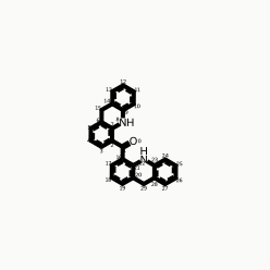 O=C(c1cccc2c1Nc1ccccc1C2)c1cccc2c1Nc1ccccc1C2